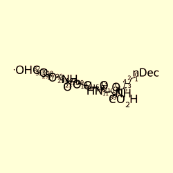 CCCCCCCCCCCCCCCC(=O)NC(CCC(=O)NCCOCCOCC(=O)NCCOCCOC[C]=O)C(=O)O